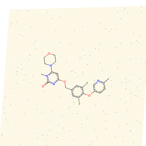 Cc1ccc(Oc2c(F)cc(COc3cc(N4CCOCC4)n(C)c(=O)n3)cc2F)cn1